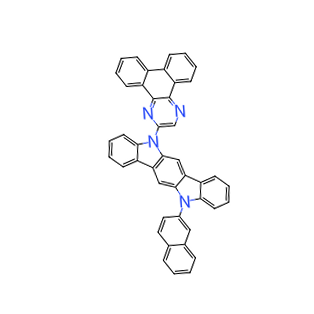 c1ccc2cc(-n3c4ccccc4c4cc5c(cc43)c3ccccc3n5-c3cnc4c5ccccc5c5ccccc5c4n3)ccc2c1